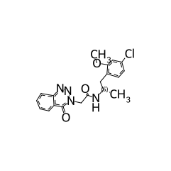 COc1cc(Cl)ccc1C[C@H](C)NC(=O)Cn1nnc2ccccc2c1=O